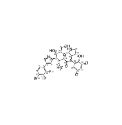 CO[C@@H]1[C@@H](n2cc(-c3ccc(Br)c(F)c3F)nn2)[C@@H](O)[C@@H](CO)O[C@H]1C(=O)N(c1cc(Cl)cc(Cl)c1)[C@H]1CNC[C@@H]1O